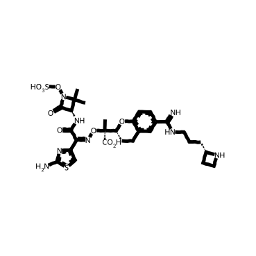 CC1(C)[C@H](NC(=O)/C(=N\O[C@](C)(C(=O)O)[C@H]2CCc3cc(C(=N)NCCC[C@H]4CCN4)ccc3O2)c2csc(N)n2)C(=O)N1OS(=O)(=O)O